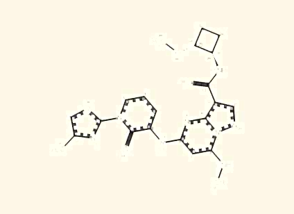 CNc1cc(Nc2cccn(-c3nc(C)co3)c2=O)nc2c(C(=O)N[C@@H]3CC[C@H]3OC)cnn12